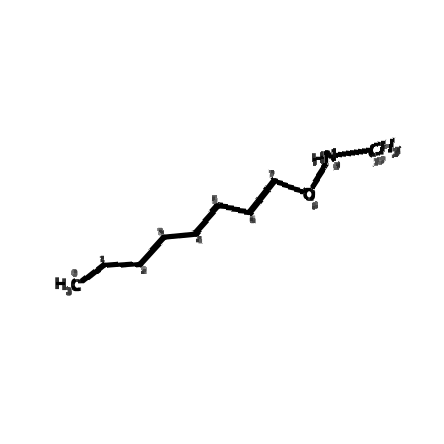 CCCCCCCCONC